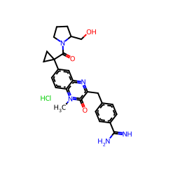 Cl.Cn1c(=O)c(Cc2ccc(C(=N)N)cc2)nc2cc(C3(C(=O)N4CCCC4CO)CC3)ccc21